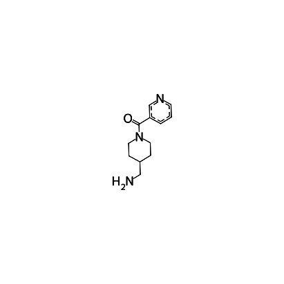 NCC1CCN(C(=O)c2cccnc2)CC1